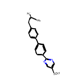 CCCCCCCCc1cnc(-c2ccc(-c3ccc(C[C@@H](C#N)CCC)cc3)cc2)nc1